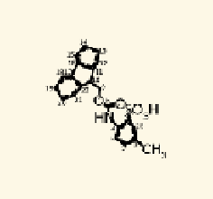 Cc1ccc(NC(=O)OCC2c3ccccc3-c3ccccc32)c(S(=O)(=O)O)c1